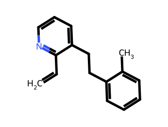 C=Cc1ncccc1CCc1ccccc1C